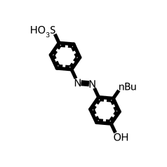 CCCCc1cc(O)ccc1/N=N/c1ccc(S(=O)(=O)O)cc1